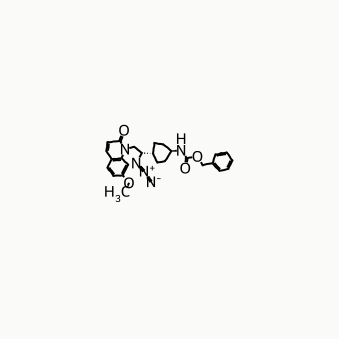 COc1ccc2ccc(=O)n(CC(N=[N+]=[N-])[C@H]3CC[C@H](NC(=O)OCc4ccccc4)CC3)c2c1